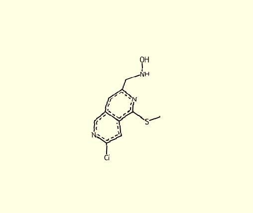 CSc1nc(CNO)cc2cnc(Cl)cc12